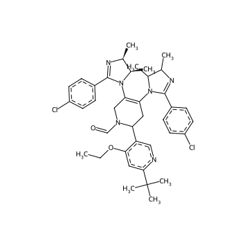 CCOc1cc(C(C)(C)C)ncc1C1CC(N2C(c3ccc(Cl)cc3)=NC(C)C2C)=C(N2C(c3ccc(Cl)cc3)=N[C@@H](C)[C@H]2C)CN1C=O